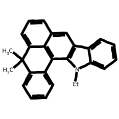 CCn1c2ccccc2c2cc3cccc4c3c(c21)-c1ccccc1C4(C)C